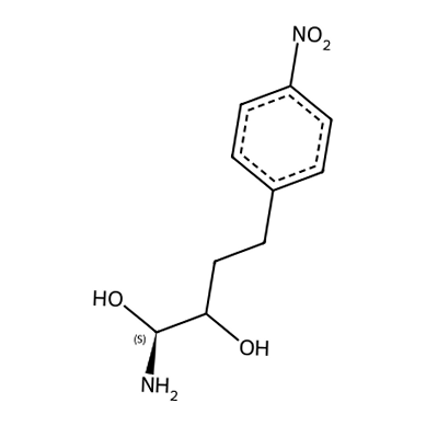 N[C@@H](O)C(O)CCc1ccc([N+](=O)[O-])cc1